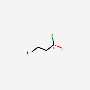 CCC[C@@H]([O])F